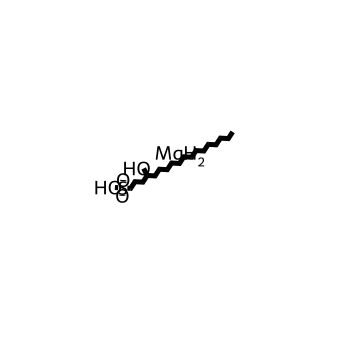 CCCCCCCCCCCCCCC(O)CCCS(=O)(=O)O.[MgH2]